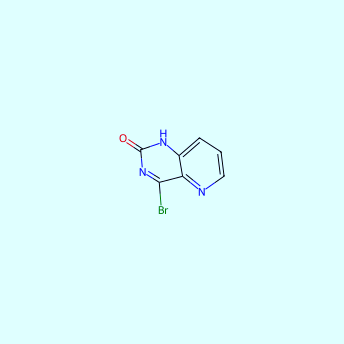 O=c1nc(Br)c2ncccc2[nH]1